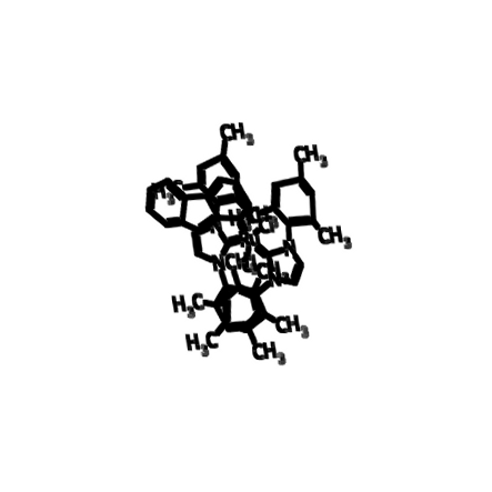 Cc1cc(C)c(-n2ccn(-c3c(C)cc(C)cc3C)[c]2=[Ru]([Cl])([Cl])(=[C]2C=CC=C3C2=Cc2ccccc23)=[c]2n(-c3c(C)cc(C)cc3C)ccn2-c2c(C)cc(C)cc2C)c(C)c1